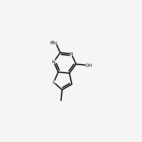 Cc1cc2c(O)nc(C(C)(C)C)nc2s1